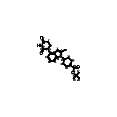 Cc1cc2c(N3CCC(=O)NC3=O)cccc2n1C1CCN(C(=O)OC(C)(C)C)CC1